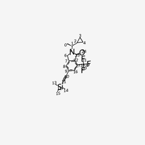 C[C@@H](C1CC1)N1Cc2cc(C#C[Si](C)(C)C)cc(C(F)(F)F)c2C1=O